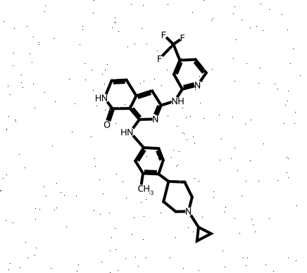 Cc1cc(Nc2nc(Nc3cc(C(F)(F)F)ccn3)cc3cc[nH]c(=O)c23)ccc1C1CCN(C2CC2)CC1